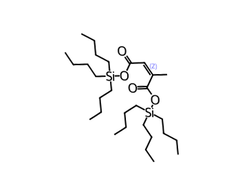 CCCC[Si](CCCC)(CCCC)OC(=O)/C=C(/C)C(=O)O[Si](CCCC)(CCCC)CCCC